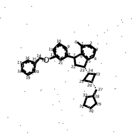 Cc1cccc2c1C(c1cccc(OCc3ccccc3)c1)CC2[C@H]1C[C@@H](CC2CCCC2)C1